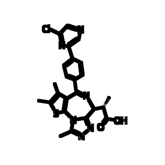 Cc1sc2c(c1C)C(c1ccc(-c3cncc(Cl)n3)cc1)=NC([C@H](C)C(=O)O)c1nnc(C)n1-2